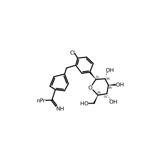 CCCC(=N)c1ccc(Cc2cc([C@@H]3O[C@H](CO)[C@@H](O)[C@H](O)[C@H]3O)ccc2Cl)cc1